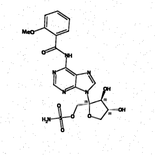 COc1ccccc1C(=O)Nc1ncnc2c1ncn2[C@]1(COS(N)(=O)=O)OC[C@@H](O)[C@@H]1O